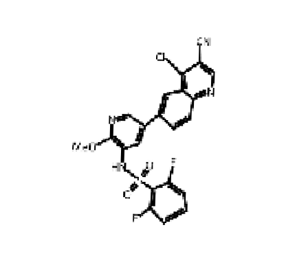 COc1ncc(-c2ccc3ncc(C#N)c(Cl)c3c2)cc1NS(=O)(=O)c1c(F)cccc1F